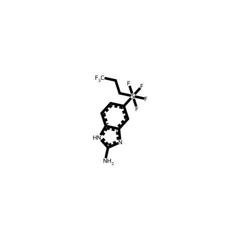 Nc1nc2cc(S(F)(F)(F)(F)CCC(F)(F)F)ccc2[nH]1